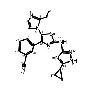 CCc1nccn1-c1sc(Nc2n[nH]c(C3CC3)n2)nc1-c1cccc(C#N)c1